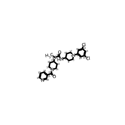 CN(C(=O)NC1CCN(c2cc(Cl)cc(Cl)c2)CC1)C1CCN(C(=O)c2cccnc2)CC1